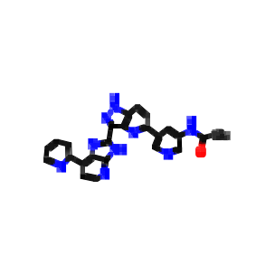 CC(C)(C)C(=O)Nc1cncc(-c2ccc3[nH]nc(-c4nc5c(-c6ccccn6)ccnc5[nH]4)c3n2)c1